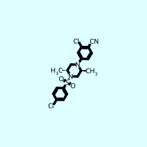 C[C@@H]1CN(c2ccc(C#N)c(Cl)c2)[C@@H](C)CN1S(=O)(=O)c1ccc(Cl)cc1